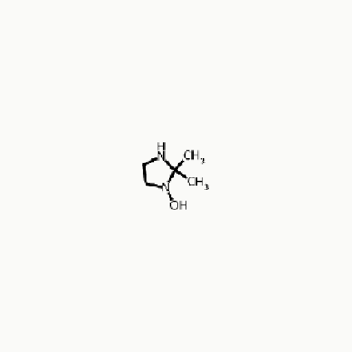 CC1(C)NCCN1O